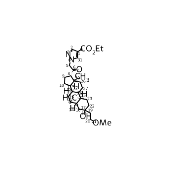 CCOC(=O)c1cnn(CC(=O)[C@H]2CC[C@H]3[C@@H]4CC[C@H]5C[C@@](O)(CCOC)CC[C@]5(C)[C@H]4CC[C@]23C)c1